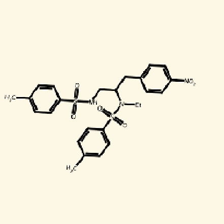 CCN(C(CNS(=O)(=O)c1ccc(C)cc1)Cc1ccc([N+](=O)[O-])cc1)S(=O)(=O)c1ccc(C)cc1